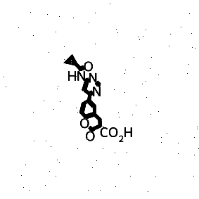 O=C(Nc1cc(-c2ccc3c(c2)CC(C(=O)O)C(=O)O3)ncn1)C1CC1